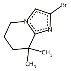 CC1(C)CCCn2cc(Br)nc21